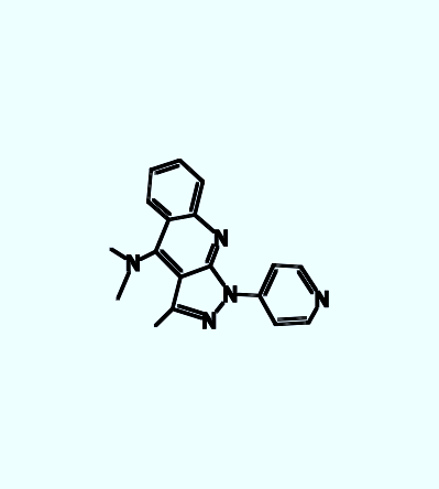 Cc1nn(-c2ccncc2)c2nc3ccccc3c(N(C)C)c12